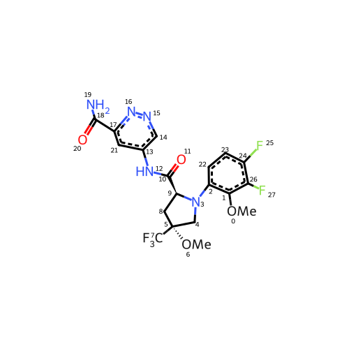 COc1c(N2C[C@@](OC)(C(F)(F)F)C[C@H]2C(=O)Nc2cnnc(C(N)=O)c2)ccc(F)c1F